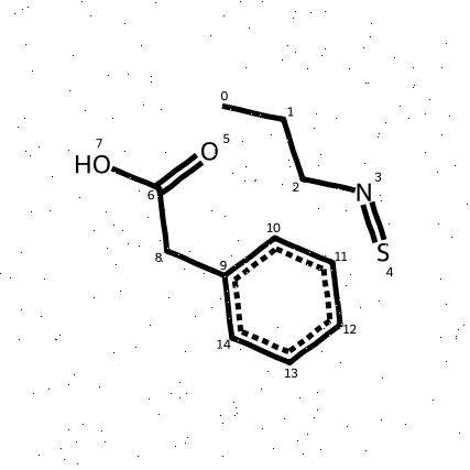 CCCN=S.O=C(O)Cc1ccccc1